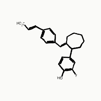 O=C(O)/C=C/c1ccc(C=C2CCCCCC2c2ccc(O)c(F)c2)cc1